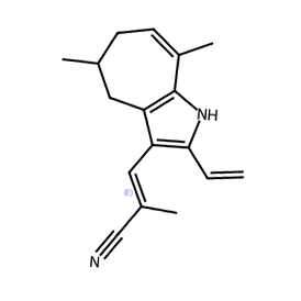 C=Cc1[nH]c2c(c1/C=C(\C)C#N)CC(C)CC=C2C